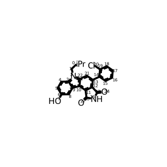 CC(C)Cn1c2ccc(O)cc2c2c3c(c(-c4ccccc4Cl)cc21)C(=O)NC3=O